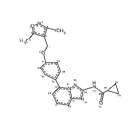 Cc1noc(C)c1COc1ccc(-c2cccc3nc(NC(=O)C4CC4)nn23)cc1